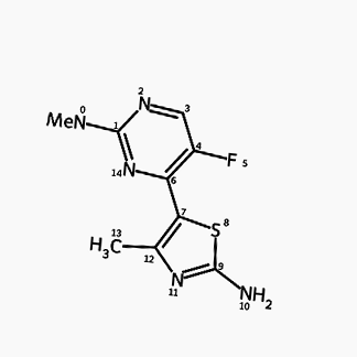 CNc1ncc(F)c(-c2sc(N)nc2C)n1